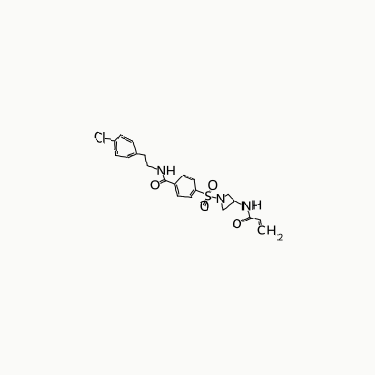 C=CC(=O)NC1CN(S(=O)(=O)c2ccc(C(=O)NCCc3ccc(Cl)cc3)cc2)C1